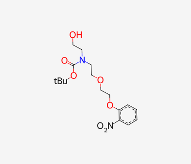 CC(C)(C)OC(=O)N(CCO)CCOCCOc1ccccc1[N+](=O)[O-]